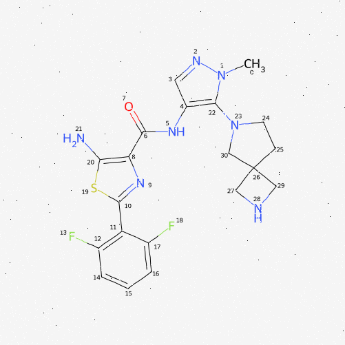 Cn1ncc(NC(=O)c2nc(-c3c(F)cccc3F)sc2N)c1N1CCC2(CNC2)C1